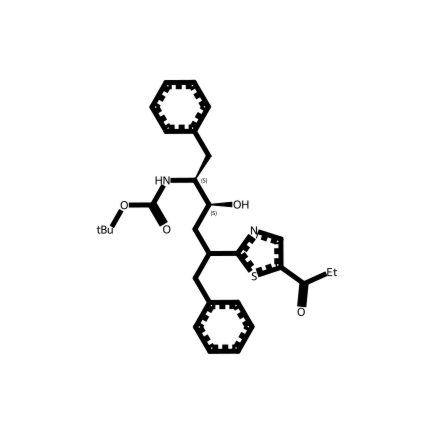 CCC(=O)c1cnc(C(Cc2ccccc2)C[C@H](O)[C@H](Cc2ccccc2)NC(=O)OC(C)(C)C)s1